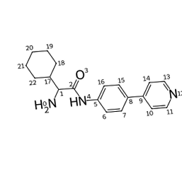 NC(C(=O)Nc1ccc(-c2ccncc2)cc1)C1CCCCC1